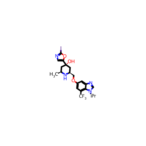 CC(C)n1cnc2cc(OC[C@@H]3C[C@](O)(c4cnc(I)o4)C[C@H](C)N3)cc(C(F)(F)F)c21